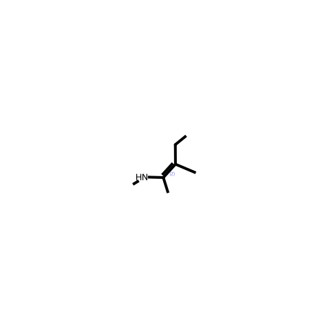 CC/C(C)=C(/C)NC